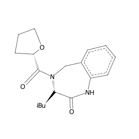 CC[C@H](C)[C@H]1C(=O)Nc2ccccc2CN1C(=O)[C@@H]1CCCO1